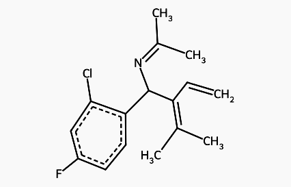 C=CC(=C(C)C)C(N=C(C)C)c1ccc(F)cc1Cl